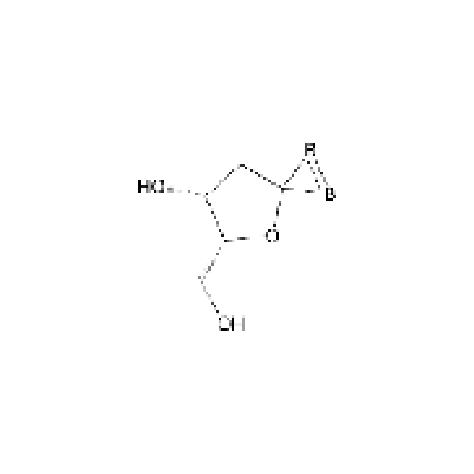 OC[C@H]1OC2(B=B2)C[C@H]1O